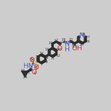 O=C(NS(=O)(=O)c1ccc(-c2ccc3c(c2)CC[C@H](CNC[C@@H](O)c2cccnc2)O3)cc1)C1CC1